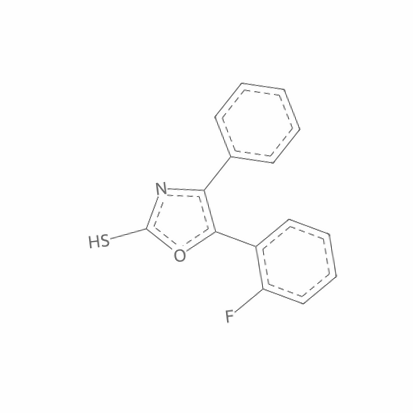 Fc1ccccc1-c1oc(S)nc1-c1ccccc1